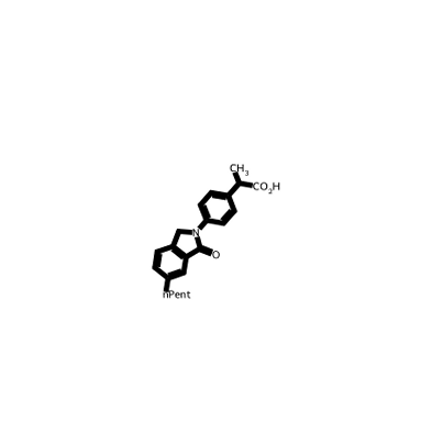 CCCCCc1ccc2c(c1)C(=O)N(c1ccc(C(C)C(=O)O)cc1)C2